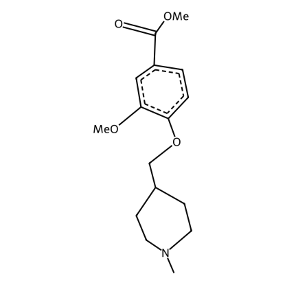 COC(=O)c1ccc(OCC2CCN(C)CC2)c(OC)c1